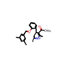 COC(=O)C1=C(C)NC(C)=CC1c1ccccc1OCc1cc(C)cc(C)c1